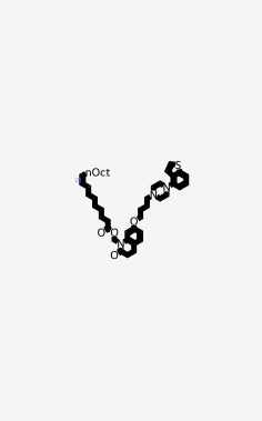 CCCCCCCC/C=C\CCCCCCCC(=O)OCN1C(=O)CCc2ccc(OCCCCN3CCN(c4cccc5sccc45)CC3)cc21